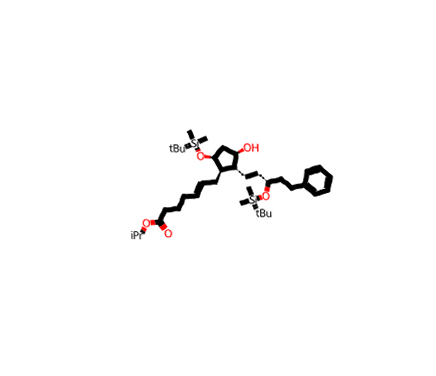 CC(C)OC(=O)CCCC=CC[C@@H]1[C@@H](CC[C@H](CCc2ccccc2)O[Si](C)(C)C(C)(C)C)[C@H](O)C[C@@H]1O[Si](C)(C)C(C)(C)C